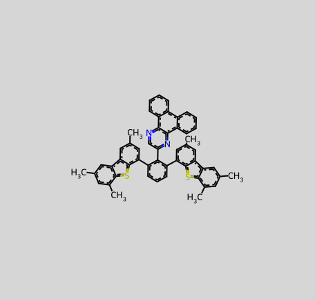 Cc1cc(C)c2sc3c(-c4cccc(-c5cc(C)cc6c5sc5c(C)cc(C)cc56)c4-c4cnc5c6ccccc6c6ccccc6c5n4)cc(C)cc3c2c1